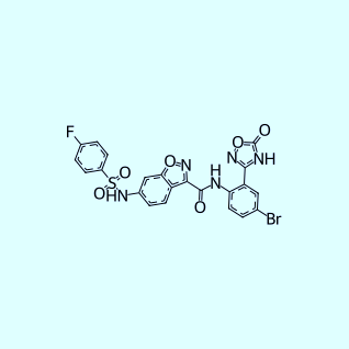 O=C(Nc1ccc(Br)cc1-c1noc(=O)[nH]1)c1noc2cc(NS(=O)(=O)c3ccc(F)cc3)ccc12